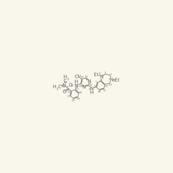 CCN1CCN(CC)c2cc(Nc3ncc(Cl)c(Nc4ccccc4S(=O)(=O)N(C)C)n3)ccc2C1